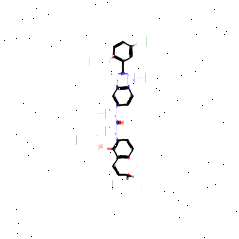 COc1c(NC(=O)Nc2ccc3[nH]c(-c4cc(Cl)ccc4O)nc3c2)ccc2c1C=CC(C)(C)O2